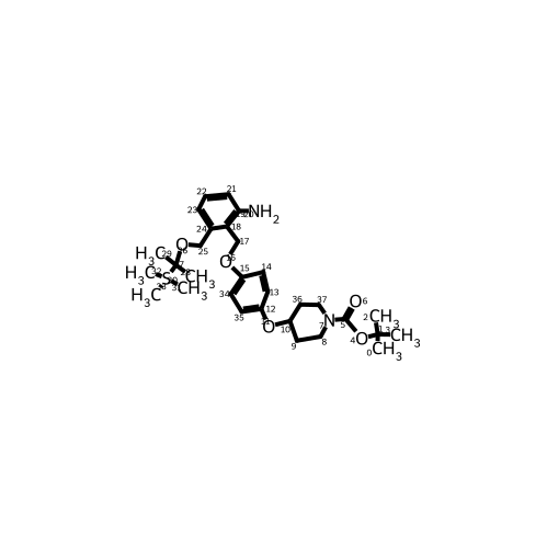 CC(C)(C)OC(=O)N1CCC(Oc2ccc(OCc3c(N)cccc3COC(C)(C)S(C)(C)C)cc2)CC1